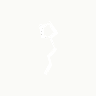 C=CC=Cc1ccoc1